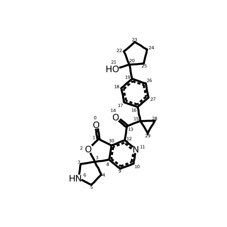 O=C1OC2(CCNC2)c2ccnc(C(=O)C3(c4ccc(C5(O)CCCC5)cc4)CC3)c21